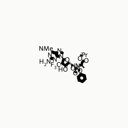 CNc1nc(N)nc2c1ncn2[C@@H]1O[C@H](CO[P@@](=O)(N[C@H](C)C(=O)OC(C)C)Oc2ccccc2)[C@@H](O)[C@@H]1C(F)(F)F